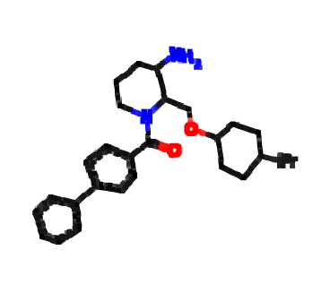 CC(C)C1CCC(OCC2C(N)CCCN2C(=O)c2ccc(-c3ccccc3)cc2)CC1